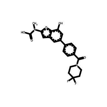 CN(C(=O)O)c1cc2cc(-c3ccc(C(=O)N4CCC(F)(F)CC4)cc3)cc(O)c2o1